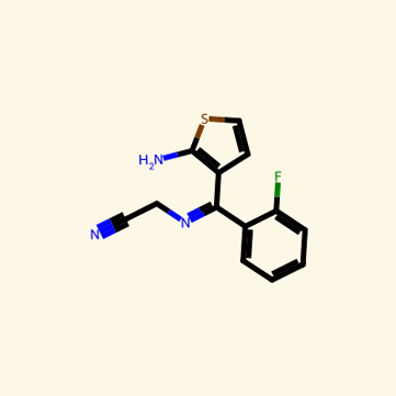 N#CCN=C(c1ccccc1F)c1ccsc1N